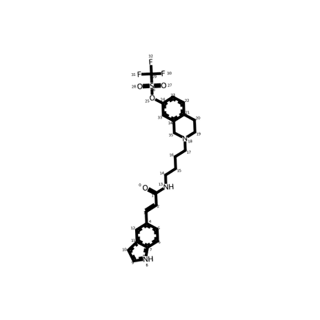 O=C(C=Cc1ccc2[nH]ccc2c1)NCCCCN1CCc2ccc(OS(=O)(=O)C(F)(F)F)cc2C1